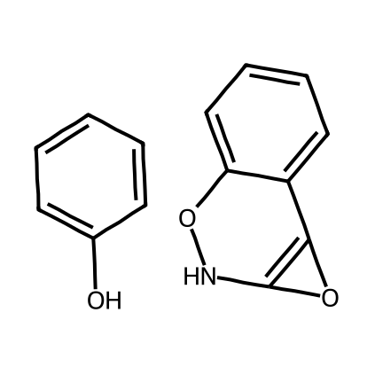 Oc1ccccc1.c1ccc2c3oc=3[nH]oc2c1